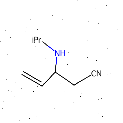 C=CC(CC#N)NC(C)C